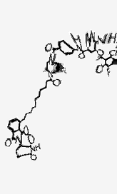 C[C@@H]1CN(C(=O)c2ccc(NC(=O)c3cc(O[C@H](C)c4c(Cl)ccc(F)c4Cl)c(N)nn3)cc2)C[C@H](C)N1C(=O)CCCCCCCCCCc1cccc2c1C(=O)N(C1CCC(=O)NC1=O)C2=O